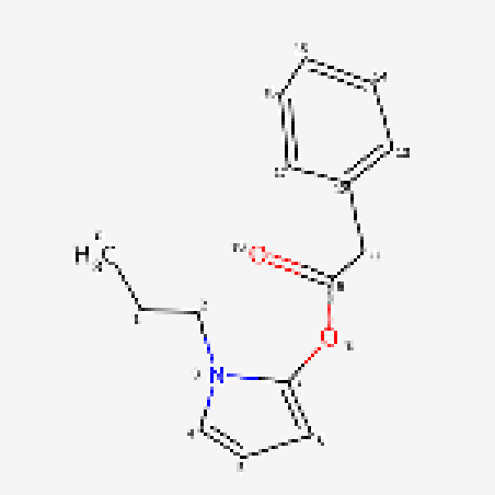 CCCn1cccc1OC(=O)Cc1ccccc1